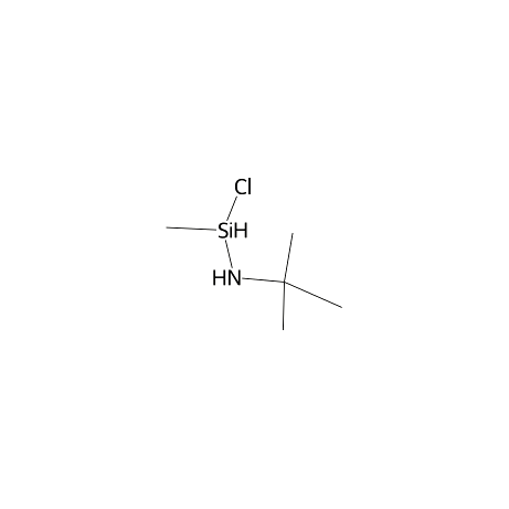 C[SiH](Cl)NC(C)(C)C